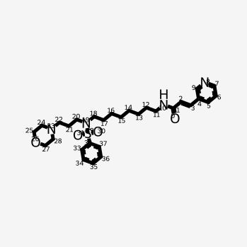 O=C(C=Cc1cccnc1)NCCCCCCCCN(CCCN1CCOCC1)S(=O)(=O)c1ccccc1